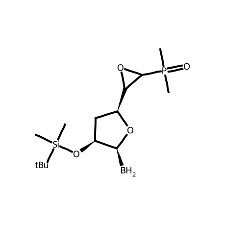 B[C@@H]1O[C@H](C2OC2P(C)(C)=O)C[C@@H]1O[Si](C)(C)C(C)(C)C